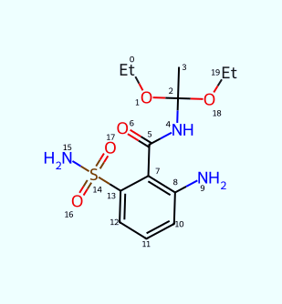 CCOC(C)(NC(=O)c1c(N)cccc1S(N)(=O)=O)OCC